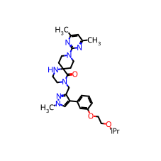 Cc1cc(C)nc(N2CCC3(CC2)NCCN(Cc2nn(C)cc2-c2cccc(OCCOC(C)C)c2)C3=O)n1